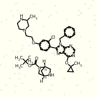 CC(C)(C)OC(=O)N1C[C@@H]2C[C@H]1CN2.CC1CN(CCOc2ccc(-c3nc4c(OC5(C)CC5)ncnc4n3Cc3ccccc3)c(Cl)c2)CCN1